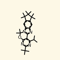 CC(C)c1nc(C(C)(C)C)nc2c1-c1nc3cc4c(cc3n1C(C)(C)O2)C(C)(C)C(C)(C)C4(C)C